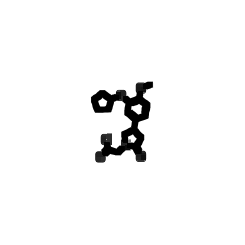 COc1ccc(C2CC(=O)N(CC(=O)Cl)C2)cc1OC1CCCC1